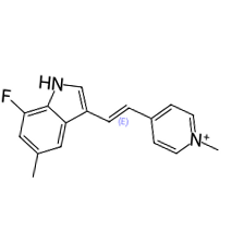 Cc1cc(F)c2[nH]cc(/C=C/c3cc[n+](C)cc3)c2c1